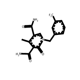 Cc1c(C(N)=O)cn(Cc2cccc(C(F)(F)F)c2)c(=O)c1C(N)=O